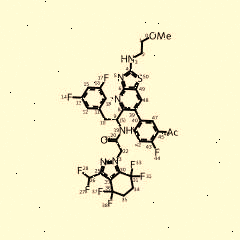 COCCNc1nc2nc([C@H](Cc3cc(F)cc(F)c3)NC(=O)Cn3nc(C(F)F)c4c3C(F)(F)CCC4(F)F)c(-c3ccc(F)c(C(C)=O)c3)cc2s1